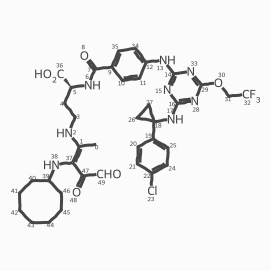 C/C(NCC[C@H](NC(=O)c1ccc(Nc2nc(NC3(c4ccc(Cl)cc4)CC3)nc(OCC(F)(F)F)n2)cc1)C(=O)O)=C(/NC1CCCCCCC1)C(=O)C=O